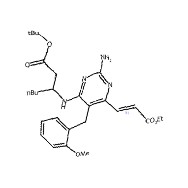 CCCCC(CC(=O)OC(C)(C)C)Nc1nc(N)nc(/C=C/C(=O)OCC)c1Cc1ccccc1OC